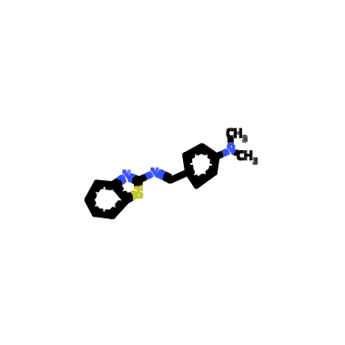 CN(C)c1ccc(C=Nc2nc3ccccc3s2)cc1